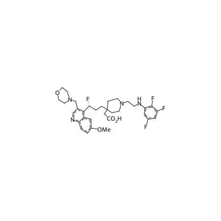 COc1ccc2ncc(CN3CCOCC3)c([C@H](F)CCC3(CC(=O)O)CCN(CCNc4cc(F)cc(F)c4F)CC3)c2c1